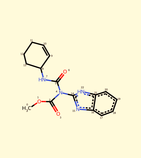 COC(=O)N(C(=O)NC1C=CCCC1)c1nc2ccccc2[nH]1